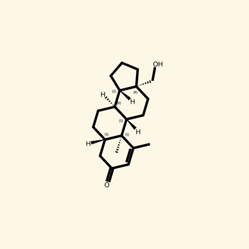 CC1=CC(=O)C[C@@H]2CC[C@H]3[C@@H]4CCC[C@@]4(CO)CC[C@@H]3[C@@]12C